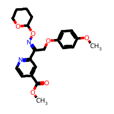 COC(=O)c1ccnc(/C(COc2ccc(OC)cc2)=N/OC2CCCCO2)c1